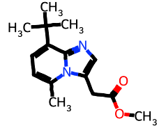 COC(=O)Cc1cnc2c(C(C)(C)C)ccc(C)n12